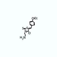 CCOc1ccc(/C=C2\SC(=S)N(CCN)C2=O)cc1